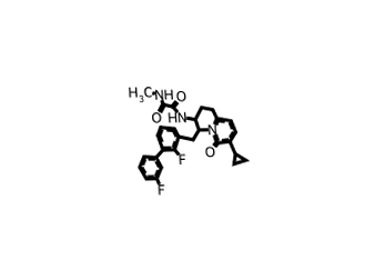 CNC(=O)C(=O)NC1CCc2ccc(C3CC3)c(=O)n2C1Cc1cccc(-c2cccc(F)c2)c1F